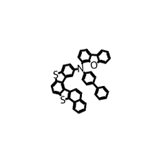 c1ccc(-c2ccc(N(c3ccc4sc5ccc6sc7c8ccccc8ccc7c6c5c4c3)c3cccc4c3oc3ccccc34)cc2)cc1